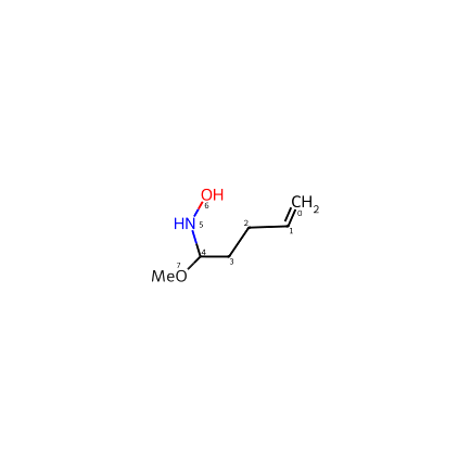 C=CCCC(NO)OC